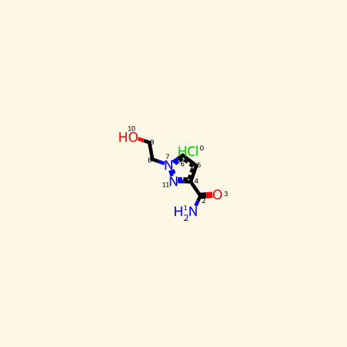 Cl.NC(=O)c1ccn(CCO)n1